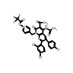 CC(=O)Nc1c(C(C)=O)c(=O)n(Cc2cc[n+](OC(=O)C(F)(F)F)cc2)c2nc(-c3ccc(Cl)cc3Cl)c(-c3ccc(Cl)cc3)cc12